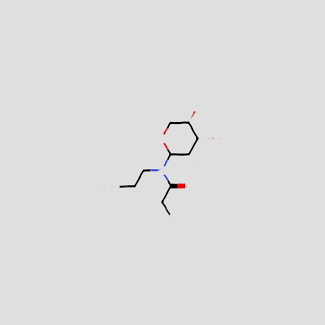 CCCCCCCCCCCCN(C(=O)CCCCCCCCCCC)C1OC[C@@H](O)[C@H](O)[C@@H]1O